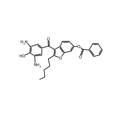 CCCCCc1oc2cc(OC(=O)c3ccccc3)ccc2c1C(=O)c1cc(N)c(O)c(N)c1